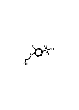 NS(=O)(=O)c1ccc(SCCO)c(F)c1